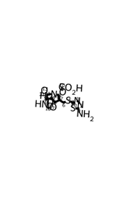 Nc1nnc(SCC2=C(OC(=O)O)N3C(=O)[C@H]4NCOC2[C@H]43)s1